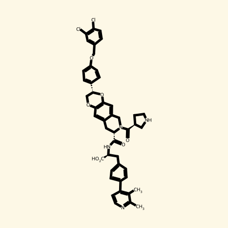 Cc1nccc(-c2ccc(C[C@H](NC(=O)[C@@H]3Cc4cc5c(cc4CN3C(=O)[C@H]3CCNC3)O[C@@H](c3ccc(OCc4ccc(Cl)c(Cl)c4)cc3)CO5)C(=O)O)cc2)c1C